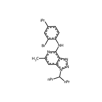 CCCC(CCC)n1nnc2c(Nc3ccc(C(C)C)cc3Br)nc(C)cc21